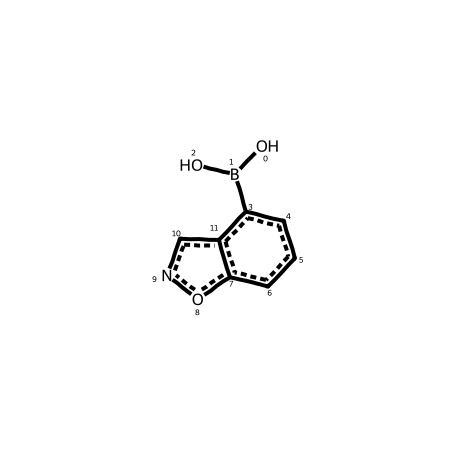 OB(O)c1cccc2oncc12